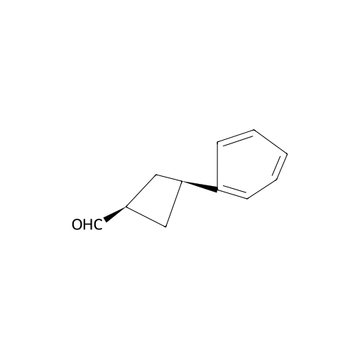 O=C[C@H]1C[C@@H](c2ccccc2)C1